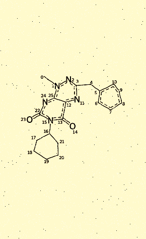 Cn1nc(Cc2ccccc2)nc2c(=O)n(C3CCCCC3)c(=O)nc1-2